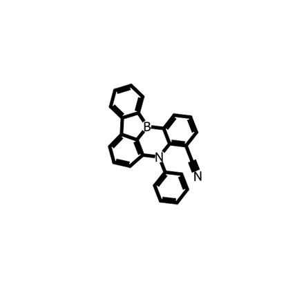 N#Cc1cccc2c1N(c1ccccc1)c1cccc3c1B2c1ccccc1-3